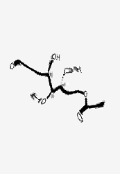 CC(=O)OC[C@@H](O)[C@@H](O)[C@H](O)CC=O